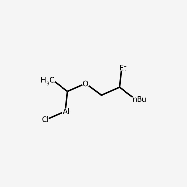 CCCCC(CC)CO[CH](C)[Al][Cl]